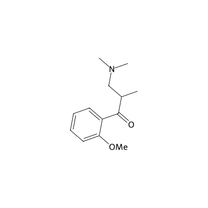 COc1ccccc1C(=O)C(C)CN(C)C